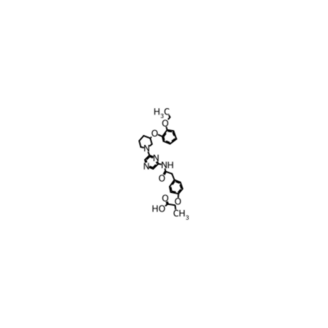 CCOc1ccccc1O[C@@H]1CCCN(c2cncc(NC(=O)Cc3ccc(OC(C)C(=O)O)cc3)n2)C1